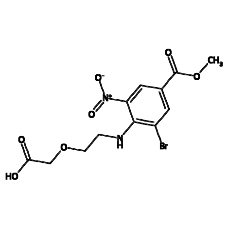 COC(=O)c1cc(Br)c(NCCOCC(=O)O)c([N+](=O)[O-])c1